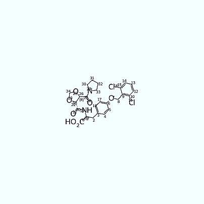 O=C(O)[C@H](Cc1ccc(OCc2c(Cl)cccc2Cl)cc1)NC(=O)[C@@H]1OCO[C@H]1C(=O)N1CCCC1